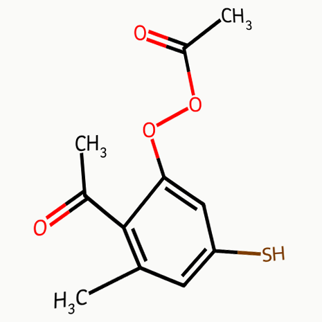 CC(=O)OOc1cc(S)cc(C)c1C(C)=O